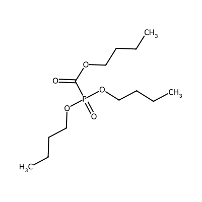 CCCCOC(=O)P(=O)(OCCCC)OCCCC